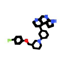 Fc1ccc(OCC2CCCN(C3[CH]CCC(c4ccnc5cnc6[nH]ccc6c45)C3)C2)cc1